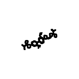 C=C(C)C(=O)O/C=C\Oc1ccc(-c2ccc(OC(=O)C(=C)C)cc2F)cc1F